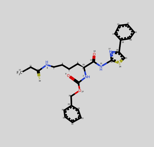 O=C(N[C@@H](CCCCNC(=S)CC(F)(F)F)C(=O)Nc1nc(-c2ccccc2)cs1)OCc1ccccc1